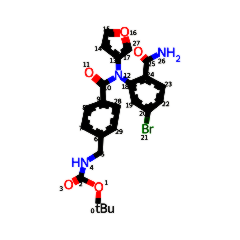 CC(C)(C)OC(=O)NCc1ccc(C(=O)N(c2ccoc2)c2cc(Br)ccc2C(N)=O)cc1